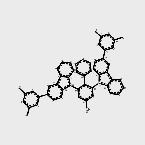 Cc1cc(C)cc(-c2ccc3c(c2)c2ccccc2n3-c2cc(C#N)cc(-n3c4ccccc4c4cc(-c5cc(C)cc(C)c5)ccc43)c2-c2ccncc2)c1